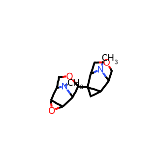 CN1C2COC(C34CC3C3COCC4N3C)C1C1OC12